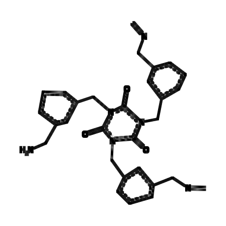 C=NCc1cccc(Cn2c(=O)n(Cc3cccc(CN)c3)c(=O)n(Cc3cccc(CN=C)c3)c2=O)c1